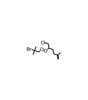 C=C(C)CCC(CCl)OOCC(C)(C)Br